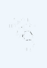 CCC(CC)(c1ccc(CO)cc1)P(=O)(O)O